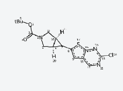 CC(C)(C)OC(=O)N1C[C@@H]2C(c3cc4cnc(Cl)nc4s3)[C@@H]2C1